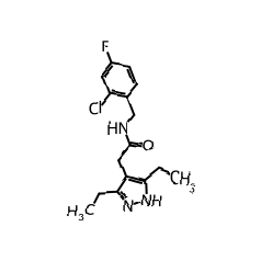 CCc1n[nH]c(CC)c1CC(=O)NCc1ccc(F)cc1Cl